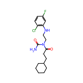 NC(=O)N(CCNc1cc(F)ccc1Cl)C(=O)[CH]CC1CCCCC1